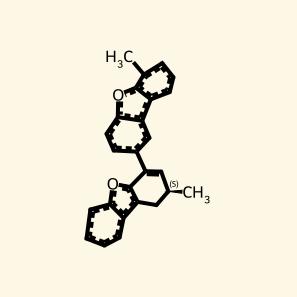 Cc1cccc2c1oc1ccc(C3=C[C@@H](C)Cc4c3oc3ccccc43)cc12